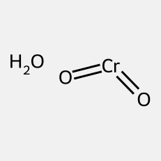 O.[O]=[Cr]=[O]